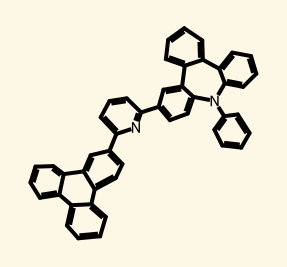 c1ccc(N2c3ccccc3-c3ccccc3-c3cc(-c4cccc(-c5ccc6c7ccccc7c7ccccc7c6c5)n4)ccc32)cc1